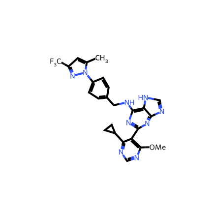 COc1ncnc(C2CC2)c1-c1nc(NCc2ccc(-n3nc(C(F)(F)F)cc3C)cc2)c2[nH]cnc2n1